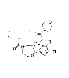 O=C(O)N1CCO[C@@H](c2ccc(Cl)c(Cl)c2)[C@@H](COCC(=O)N2CCOCC2)C1